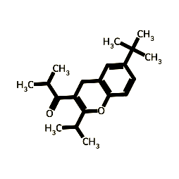 CC(C)C(=O)C1=C(C(C)C)Oc2ccc(C(C)(C)C)cc2C1